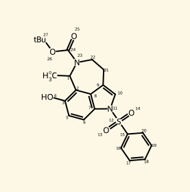 CC1c2c(O)ccc3c2c(cn3S(=O)(=O)c2ccccc2)CCN1C(=O)OC(C)(C)C